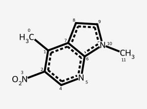 Cc1c([N+](=O)[O-])cnc2c1ccn2C